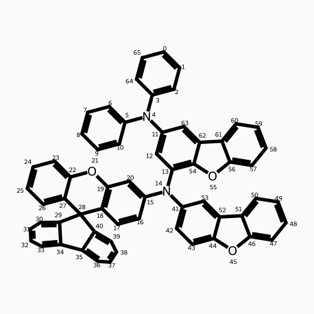 c1ccc(N(c2ccccc2)c2cc(N(c3ccc4c(c3)Oc3ccccc3C43c4ccccc4-c4ccccc43)c3ccc4oc5ccccc5c4c3)c3oc4ccccc4c3c2)cc1